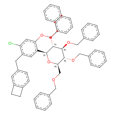 Clc1cc(OCc2ccccc2)c([C@@H]2O[C@H](COCc3ccccc3)[C@@H](OCc3ccccc3)[C@H](OCc3ccccc3)[C@H]2OCc2ccccc2)cc1Cc1ccc2c(c1)CC2